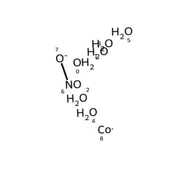 O.O.O.O.O.O.O=[NH+][O-].[Co]